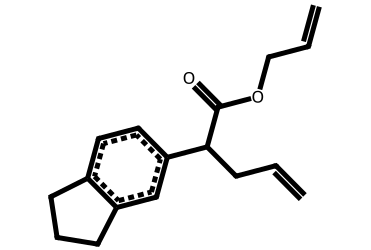 C=CCOC(=O)C(CC=C)c1ccc2c(c1)CCC2